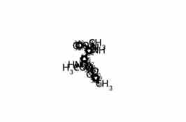 CNC(=O)c1ccc(-c2cc(OC3CCOCC3)c3c(C)n[nH]c3c2)cc1N1CCN(S(=O)(=O)c2ccc(C)cc2)CC1